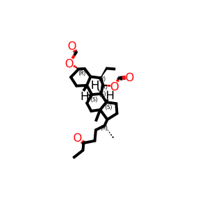 CCC(=O)CC[C@@H](C)C1CC[C@H]2[C@@H]3[C@H](OC=O)[C@H](CC)C4C[C@H](OC=O)CCC4(C)[C@H]3CCC12C